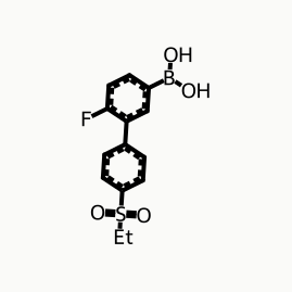 CCS(=O)(=O)c1ccc(-c2cc(B(O)O)ccc2F)cc1